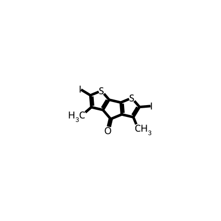 Cc1c(I)sc2c1C(=O)c1c-2sc(I)c1C